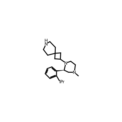 CC(C)c1ccccc1[C@@H]1CN(C)CCN1C1CC2(CCNCC2)C1